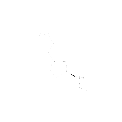 CCCCCCCN1CC[C@H](NN)C1